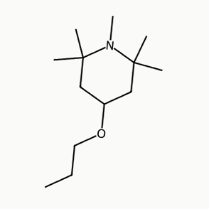 CCCOC1CC(C)(C)N(C)C(C)(C)C1